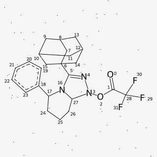 O=C(ON1N=C(C23CC4CC(CC(C4)C2)C3)N2C(c3ccccc3)CCCC12)C(F)(F)F